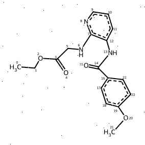 CCOC(=O)CNc1ncccc1NC(=O)c1ccc(OC)cc1